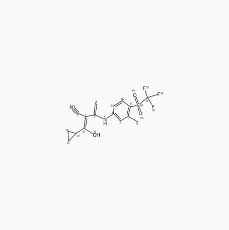 Cc1cc(NC(=S)C(C#N)=C(O)C2CC2)ccc1S(=O)(=O)C(F)(F)F